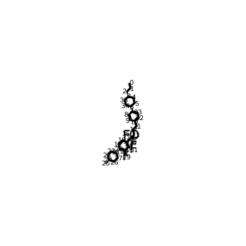 CCC[C@H]1CC[C@H](c2ccc(CCOC(F)(F)c3ccc([C@H]4CC[C@H](C)CC4)c(F)c3F)cc2)CC1